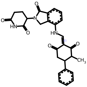 CC1C(=O)/C(=C/Nc2cccc3c2CN(C2CCC(=O)NC2=O)C3=O)C(=O)CC1c1ccccc1